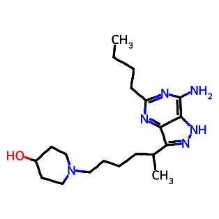 CCCCc1nc(N)c2[nH]nc(C(C)CCCCN3CCC(O)CC3)c2n1